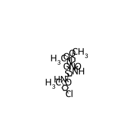 COc1ccc(-n2c(=O)[nH]c3cc(C(=O)NC(C)c4ccc(Cl)cc4)sc3c2=O)nc1OC